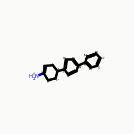 NC1=CCC(c2ccc(-c3ccccc3)cc2)CC1